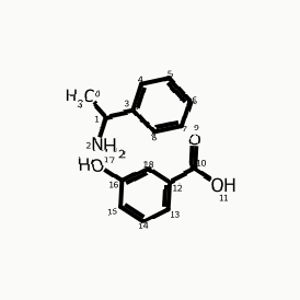 CC(N)c1ccccc1.O=C(O)c1cccc(O)c1